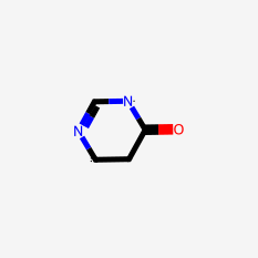 O=C1C[C]N=C[N]1